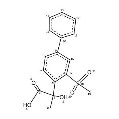 CC(O)(C(=O)O)c1ccc(-c2ccccc2)cc1S(C)(=O)=O